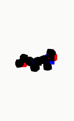 c1ccc(-n2c3cc(-c4ccc5c(c4)c4ccccc4n5-c4ccc(-c5cccc6c5oc5ccccc56)cc4)ccc3n3c4c(nc23)oc2ccccc24)cc1